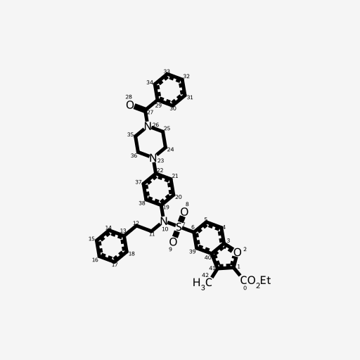 CCOC(=O)c1oc2ccc(S(=O)(=O)N(CCc3ccccc3)c3ccc(N4CCN(C(=O)c5ccccc5)CC4)cc3)cc2c1C